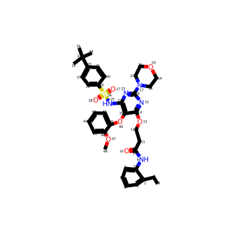 CCc1ccccc1NC(=O)CCOc1nc(N2CCOCC2)nc(NS(=O)(=O)c2ccc(C(C)(C)C)cc2)c1Oc1ccccc1OC